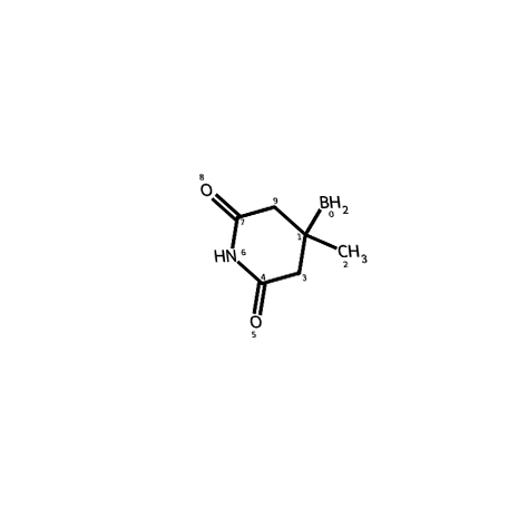 BC1(C)CC(=O)NC(=O)C1